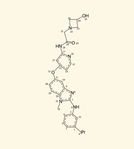 CC(C)c1cccc(Nc2nc3cc(Oc4ccnc(NC(=O)CN5CC(O)C5)c4)ccc3n2C)c1